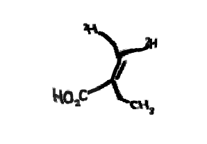 [2H]C([2H])=C(C)C(=O)O